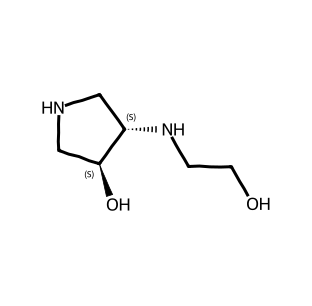 OCCN[C@H]1CNC[C@@H]1O